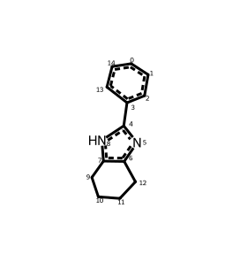 c1ccc(-c2nc3c([nH]2)CCCC3)cc1